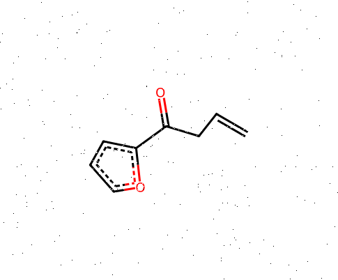 C=CCC(=O)c1ccco1